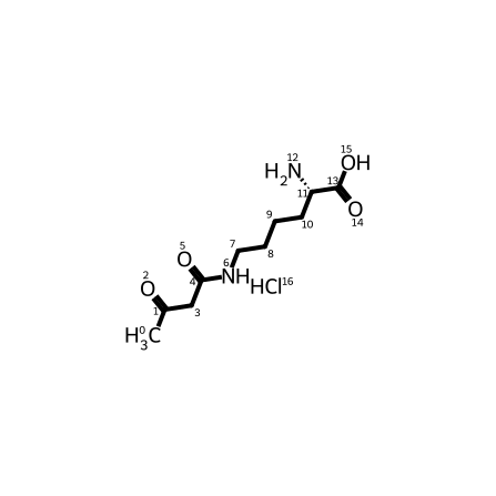 CC(=O)CC(=O)NCCCC[C@H](N)C(=O)O.Cl